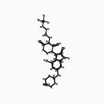 Cn1c(=O)n(C2CCC(=O)N(COCC[Si](C)(C)C)C2=O)c2c(F)cc(CN3CCNCC3)cc21